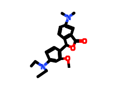 CCN(CC)c1ccc(C2OC(=O)c3cc(N(C)C)ccc32)c(OC)c1